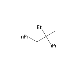 [CH2]C(C)C(C)(CC)C(C)CCC